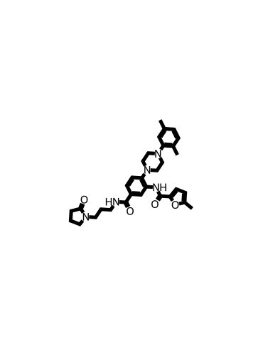 Cc1ccc(C)c(N2CCN(c3ccc(C(=O)NCCCN4CCCC4=O)cc3NC(=O)c3ccc(C)o3)CC2)c1